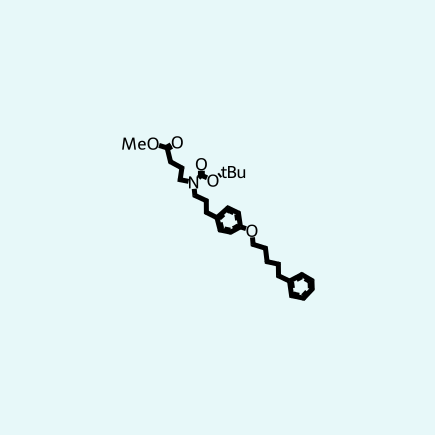 COC(=O)CCCN(CCCc1ccc(OCCCCCc2ccccc2)cc1)C(=O)OC(C)(C)C